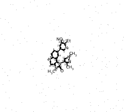 CCc1ncc(-c2ccc3ncc4c(c3c2)n(-c2cn(C)nc2C)c(=O)n4C)cc1[N+](=O)[O-]